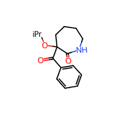 CC(C)OC1(C(=O)c2ccccc2)CCCCNC1=O